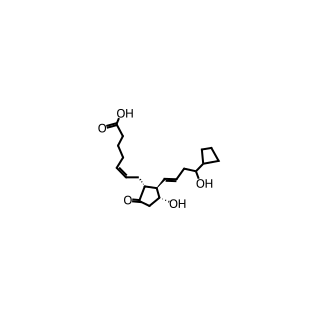 O=C(O)CCC/C=C\C[C@H]1C(=O)C[C@@H](O)[C@@H]1/C=C/CC(O)C1CCC1